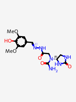 COc1cc(/C=N/NC(=O)CN(C(N)=O)[C@@H]2CNC(=O)N2)cc(OC)c1O